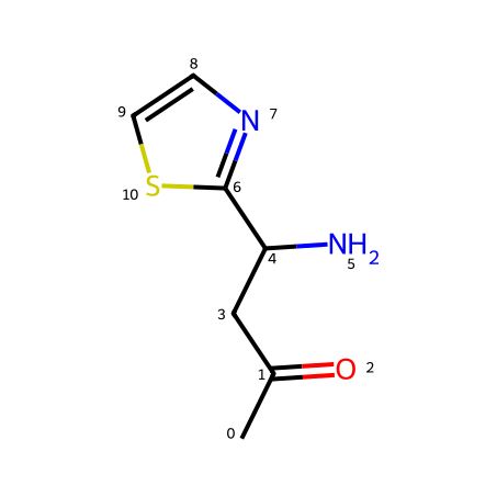 CC(=O)CC(N)c1nccs1